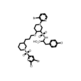 O=C(O)C(Cc1ccc(Cl)cc1)NS(=O)(=O)C1CN(c2ncccc2Br)CCC1OCCCC1CCCN(S(=O)(=O)c2cc(Br)c(Cl)s2)C1